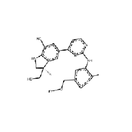 Cc1ccc(COC(C)C)cc1Nc1nccc(-c2cc(C#N)c3c(c2)[C@@](C)(CO)CN3)n1